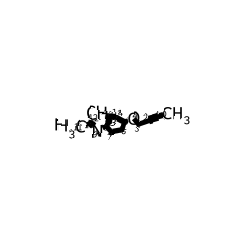 CC#CCOc1ccc(N=C(C)C)cc1